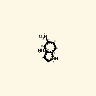 N.O=[N+]([O-])c1ccc2[nH]ccc2c1